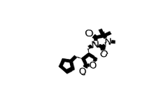 CN1C(=O)N(C[C@@H]2COC(=O)[C@@H]2CC2CCCC2)C(=O)C1(C)C